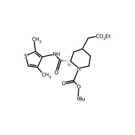 CCOC(=O)CC1CCN(C(=O)OC(C)(C)C)[C@H](C(=O)Nc2c(C)csc2C)C1